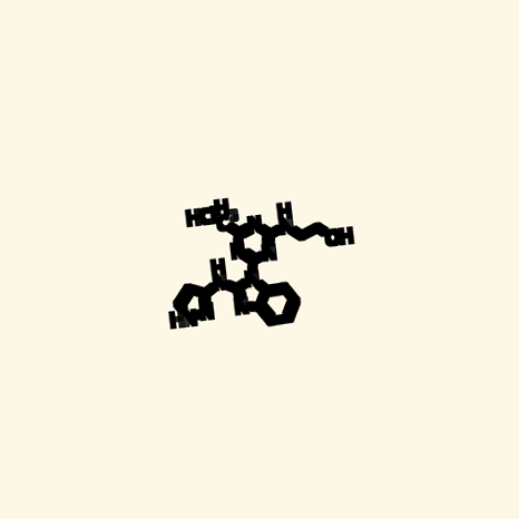 Cc1nc(NCCO)nc(-n2c(Nc3cc[nH]n3)nc3ccccc32)n1.Cl